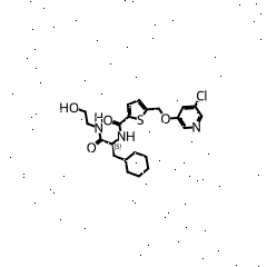 O=C(N[C@@H](CC1CCCCC1)C(=O)NCCO)c1ccc(COc2cncc(Cl)c2)s1